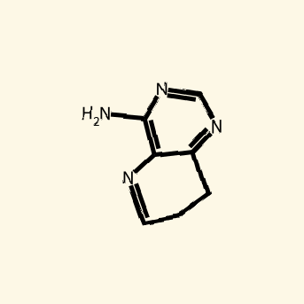 Nc1ncnc2c1N=CCC2